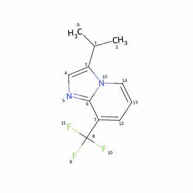 CC(C)c1cnc2c(C(F)(F)F)cccn12